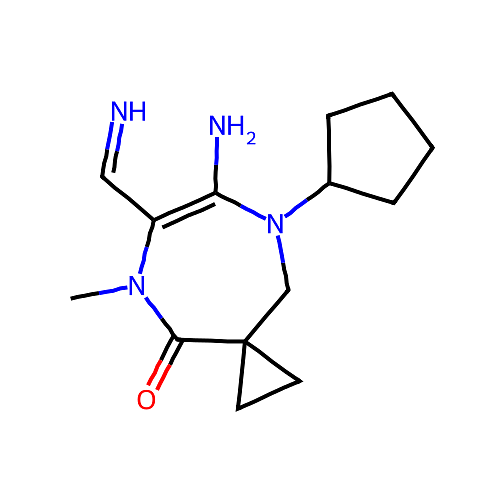 CN1C(=O)C2(CC2)CN(C2CCCC2)C(N)=C1C=N